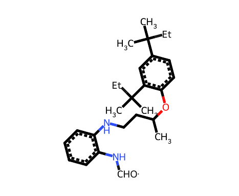 CCC(C)(C)c1ccc(OC(C)CCNc2ccccc2N[C]=O)c(C(C)(C)CC)c1